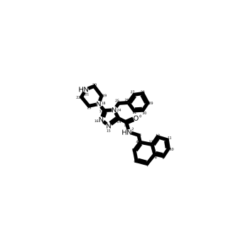 O=C(NCc1cccc2ccccc12)c1nnc(N2CCNCC2)n1Cc1ccccc1